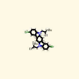 CCCCC(CC)Cn1c2ccc(Br)cc2c2cc3c(cc21)c1cc(Br)ccc1n3CC(CC)CCCC